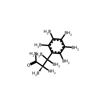 Bc1c(B)c(B)c(C(B)(B)[C@](B)(N)C(N)=O)c(B)c1B